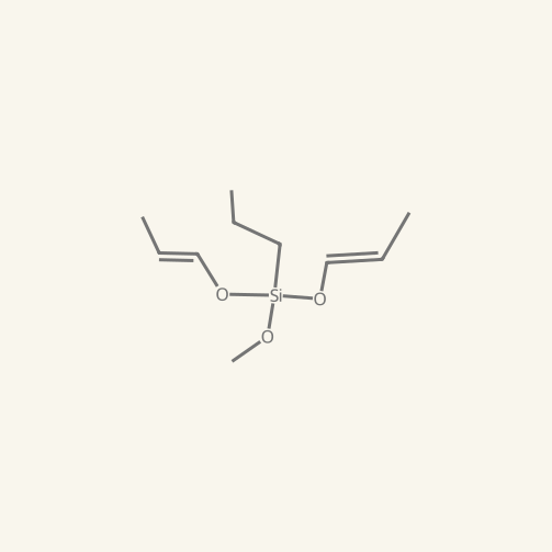 CC=CO[Si](CCC)(OC)OC=CC